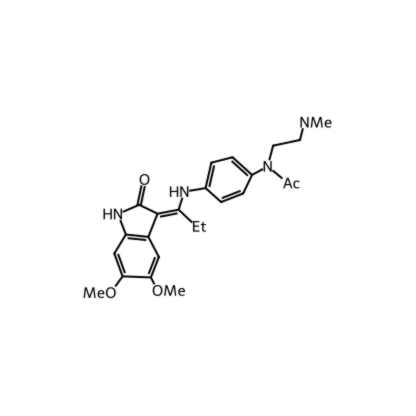 CC/C(Nc1ccc(N(CCNC)C(C)=O)cc1)=C1/C(=O)Nc2cc(OC)c(OC)cc21